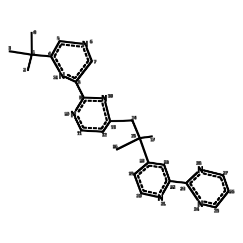 CC(C)(C)c1cncc(-c2nccc(CC(C)(C)c3ccnc(-c4ncccn4)c3)n2)n1